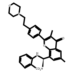 Cc1cc([C@@H](C)Nc2ccccc2C(=O)O)c2oc(-c3ccc(CCN4CCOCC4)cc3)c(C)c(=O)c2c1